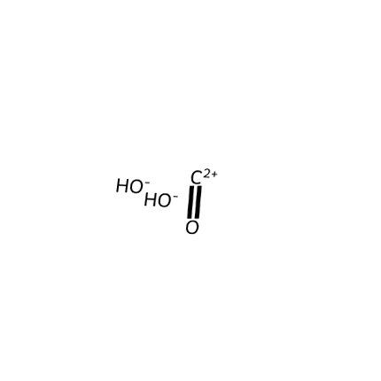 [C+2]=O.[OH-].[OH-]